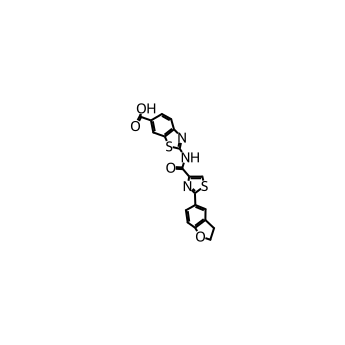 O=C(O)c1ccc2nc(NC(=O)c3csc(-c4ccc5c(c4)CCO5)n3)sc2c1